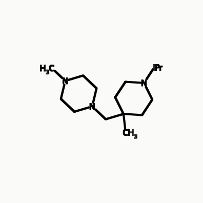 CC(C)N1CCC(C)(CN2CCN(C)CC2)CC1